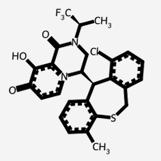 Cc1cccc2c1SCc1cccc(Cl)c1[C@@H]2C1CN([C@H](C)C(F)(F)F)C(=O)c2c(O)c(=O)ccn21